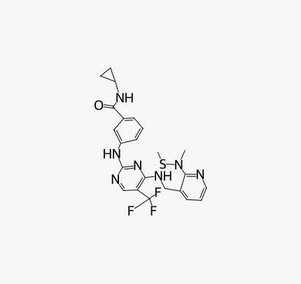 CSN(C)c1ncccc1CNc1nc(Nc2cccc(C(=O)NC3CC3)c2)ncc1C(F)(F)F